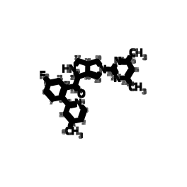 Cc1ccnc(-c2ccc(F)cc2C(=O)C2NCC3CN(c4nc(C)cc(C)n4)C=C32)c1